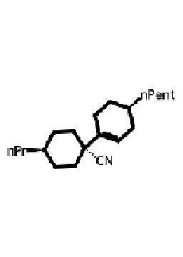 CCCCC[C@H]1CC=C([C@]2(C#N)CC[C@H](CCC)CC2)CC1